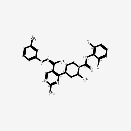 CC(=NOc1cccc(C(F)(F)F)c1)c1cnc(C)nc1C1CCN(C(=O)Nc2c(F)cccc2F)C(C)C1